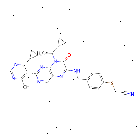 Cc1ncnc(C2CC2)c1-c1ncc2nc(NCc3ccc(SCC#N)cc3)c(=O)n([C@@H](C)C3CC3)c2n1